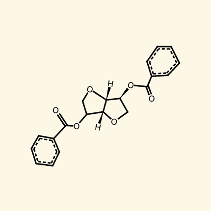 O=C(OC1CO[C@@H]2[C@@H](OC(=O)c3ccccc3)CO[C@H]12)c1ccccc1